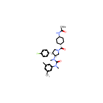 COC(=O)N[C@H]1CC[C@H](C(=O)N2C[C@@H](N(C)C(=O)N(C)c3cc(C)cc(C(F)(F)F)c3)[C@H](c3ccc(F)cc3)C2)CC1